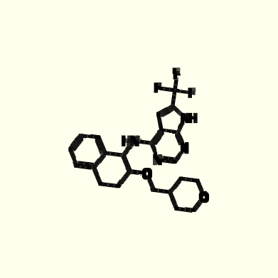 FC(F)(F)c1cc2c(NC3c4ccccc4CCC3OCC3CCOCC3)ncnc2[nH]1